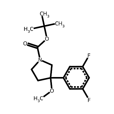 COC1(c2cc(F)cc(F)c2)CCN(C(=O)OC(C)(C)C)C1